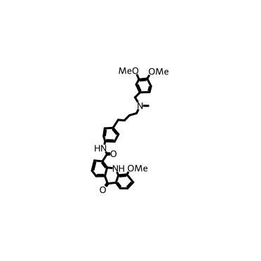 COc1ccc(CN(C)CCCCc2ccc(NC(=O)c3cccc4c(=O)c5cccc(OC)c5[nH]c34)cc2)cc1OC